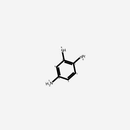 CCCc1ccc(N)cc1S